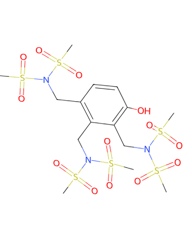 CS(=O)(=O)N(Cc1ccc(O)c(CN(S(C)(=O)=O)S(C)(=O)=O)c1CN(S(C)(=O)=O)S(C)(=O)=O)S(C)(=O)=O